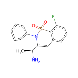 C[C@H](N)C1=Cc2cccc(F)c2S(=O)(=O)N1c1ccccc1